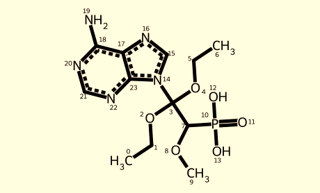 CCOC(OCC)(C(OC)P(=O)(O)O)n1cnc2c(N)ncnc21